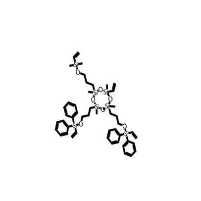 C=C[Si](C)(C)OCCC[Si]1(C)O[Si](C)(C=C)O[Si](C)(CCCO[Si](C=C)(c2ccccc2)c2ccccc2)O[Si](C)(CCCO[Si](C=C)(c2ccccc2)c2ccccc2)O1